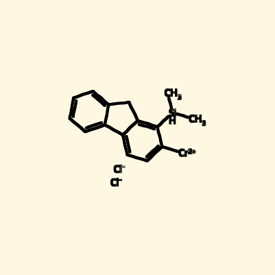 C[SiH](C)c1[c]([Cr+2])ccc2c1Cc1ccccc1-2.[Cl-].[Cl-]